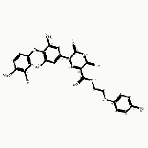 COc1ccc(Oc2c(C)cc(-n3nc(C(=O)OCCOc4ccc(C(C)(C)C)cc4)c(=O)[nH]c3=O)cc2C)cc1Br